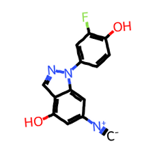 [C-]#[N+]c1cc(O)c2cnn(-c3ccc(O)c(F)c3)c2c1